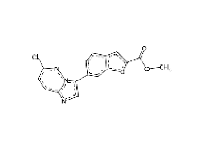 COC(=O)c1cc2ccc(-c3cnc4ccc(Cl)nn34)cc2o1